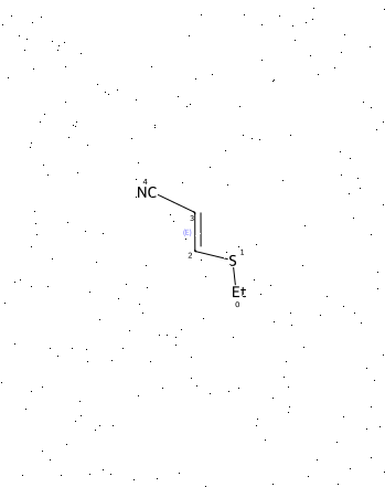 CCS/C=C/C#N